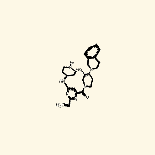 C=Cc1nc(NC2CCN(C(C)=O)CC2)cc(C(=O)N2CC[C@@H](N3CCc4ccccc4C3)[C@H](O)C2)n1